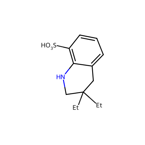 CCC1(CC)CNc2c(cccc2S(=O)(=O)O)C1